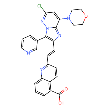 O=C(O)c1cccc2nc(C=Cc3nc4c(N5CCOCC5)cc(Cl)nn4c3-c3cccnc3)ccc12